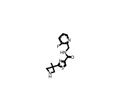 CC1(c2nc(C(=O)NCc3ncccc3F)cs2)CNC1